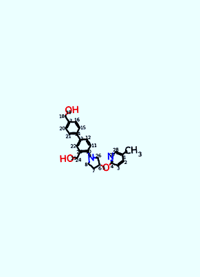 Cc1ccc(O[C@H]2CCN(c3ccc(-c4ccc(CO)cc4)cc3CO)C2)nc1